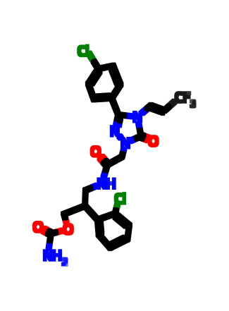 NC(=O)OCC(CNC(=O)Cn1nc(-c2ccc(Cl)cc2)n(C=CC(F)(F)F)c1=O)c1ccccc1Cl